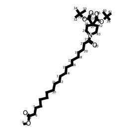 COC(=O)CCCCCCCCCCCCCCCCCCC(=O)N1CCC(C(=O)OC(C)(C)C)(C(=O)OC(C)(C)C)CC1